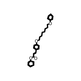 O=C(/C=C/c1ccc(OCCCCCCCCOc2ccccc2)cc1)Oc1ccccc1